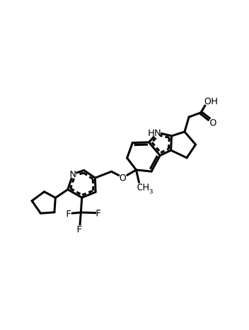 CC1(OCc2cnc(C3CCCC3)c(C(F)(F)F)c2)C=c2c3c([nH]c2=CC1)C(CC(=O)O)CC3